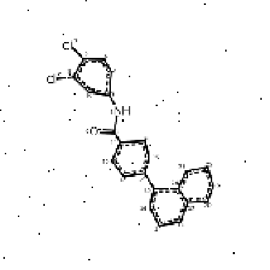 O=C(Nc1ccc(Cl)c(Cl)c1)c1ccc(-c2cccc3ccccc23)cc1